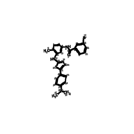 Cc1ccc(NC(=O)c2cccc(Br)c2)cc1Nc1nnc(-c2ccc(N(C)C)cc2)s1